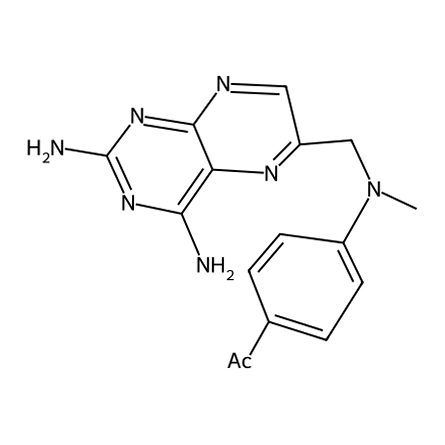 CC(=O)c1ccc(N(C)Cc2cnc3nc(N)nc(N)c3n2)cc1